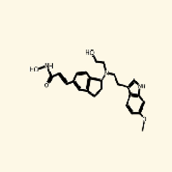 COc1ccc2c(CCN(CCO)[C@H]3CCc4cc(C=CC(=O)NO)ccc43)c[nH]c2c1